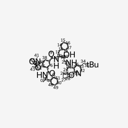 C[C@@H](NC(=O)c1cc(C(=O)N[C@@H](Cc2ccccc2)[C@H](O)CN[C@H]2CC3(CCC3)Oc3ncc(CC(C)(C)C)cc32)cc(N(C)S(C)(=O)=O)c1)c1ccccc1